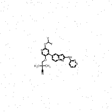 CC(C)(C#N)COc1cnc(OC(F)F)cc1-c1ccn2nc(Nc3cccnn3)cc2c1